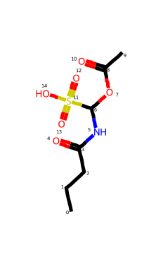 CCCC(=O)NC(OC(C)=O)S(=O)(=O)O